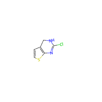 ClC1=Nc2sccc2CN1